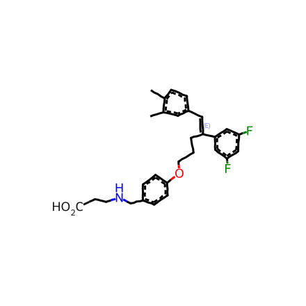 Cc1ccc(/C=C(\CCCOc2ccc(CNCCC(=O)O)cc2)c2cc(F)cc(F)c2)cc1C